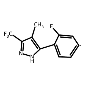 Cc1c(C(F)(F)F)n[nH]c1-c1cc[c]cc1F